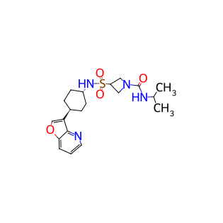 CC(C)NC(=O)N1CC(S(=O)(=O)N[C@H]2CC[C@H](c3coc4cccnc43)CC2)C1